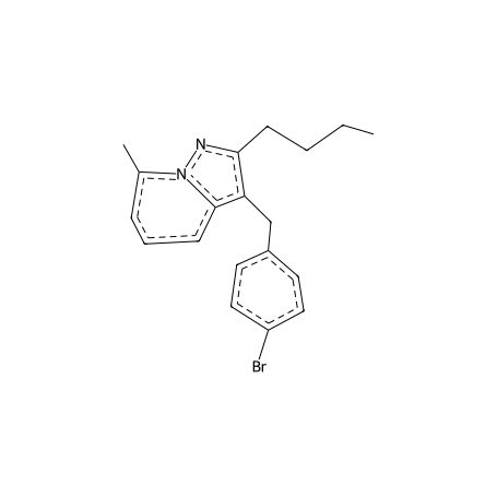 CCCCc1nn2c(C)cccc2c1Cc1ccc(Br)cc1